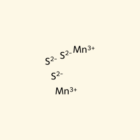 [Mn+3].[Mn+3].[S-2].[S-2].[S-2]